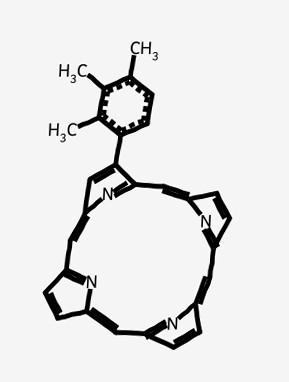 Cc1ccc(C2=CC3=CC4=NC(=CC5=NC(=CC6=NC(=CC2=N3)C=C6)C=C5)C=C4)c(C)c1C